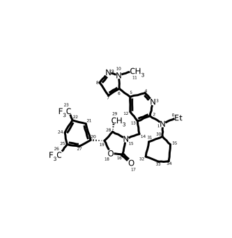 CCN(c1ncc(-c2ccnn2C)cc1CN1C(=O)O[C@H](c2cc(C(F)(F)F)cc(C(F)(F)F)c2)[C@@H]1C)C1CCCCC1